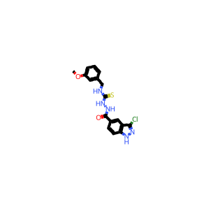 COc1cccc(CNC(=S)NNC(=O)c2ccc3[nH]nc(Cl)c3c2)c1